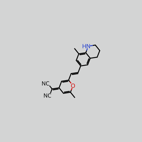 CC1=CC(=C(C#N)C#N)C=C(/C=C/c2cc(C)c3c(c2)CCCN3)O1